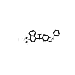 NS(=O)(=O)c1ccc(C(O)(c2ccc3c(cnn3-c3ccccc3)c2)C(F)(F)F)c2ccccc12